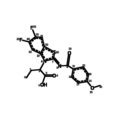 CCC(C(=O)O)n1c(=NC(=O)c2ccc(OC)cc2)sc2cc(F)c(F)cc21